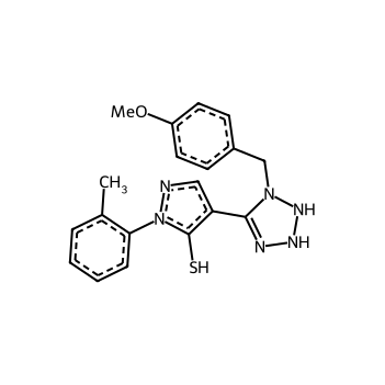 COc1ccc(CN2NNN=C2c2cnn(-c3ccccc3C)c2S)cc1